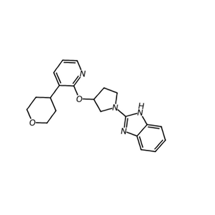 c1cnc(OC2CCN(c3nc4ccccc4[nH]3)C2)c(C2CCOCC2)c1